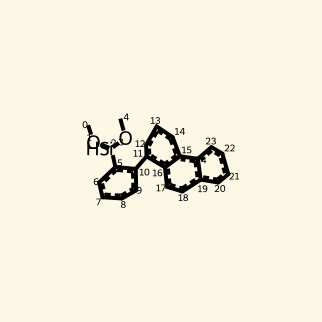 CO[SiH](OC)c1ccccc1-c1cccc2c1ccc1ccccc12